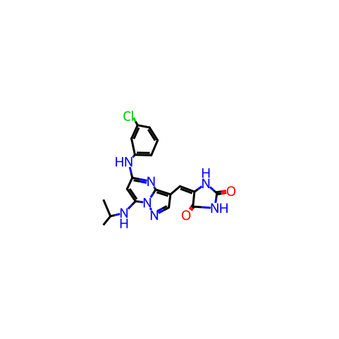 CC(C)Nc1cc(Nc2cccc(Cl)c2)nc2c(C=C3NC(=O)NC3=O)cnn12